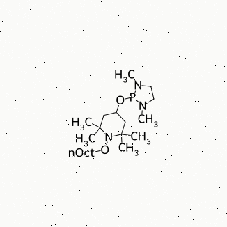 CCCCCCCCON1C(C)(C)CC(OP2N(C)CCN2C)CC1(C)C